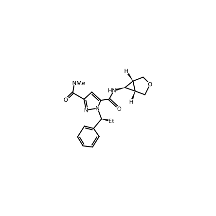 CC[C@@H](c1ccccc1)n1nc(C(=O)NC)cc1C(=O)N[C@H]1[C@@H]2COC[C@@H]21